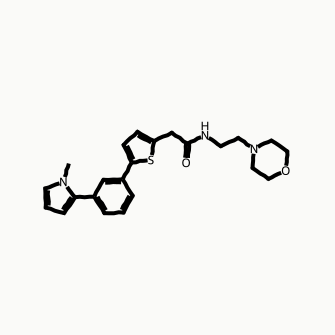 Cn1cccc1-c1cccc(-c2ccc(CC(=O)NCCN3CCOCC3)s2)c1